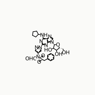 O=CN(c1cnn(-c2nc(NC3CCCC3)c3ncn([C@@H]4O[C@H](CO)C(O)C4O)c3n2)c1)S(=O)(=O)Cc1ccccc1